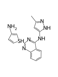 Cc1cc(Nc2nc([SH]3C=CC(N)=C3)nc3ccccc23)[nH]n1